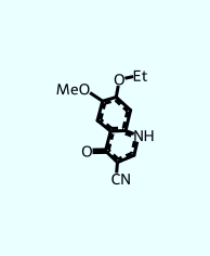 CCOc1cc2[nH]cc(C#N)c(=O)c2cc1OC